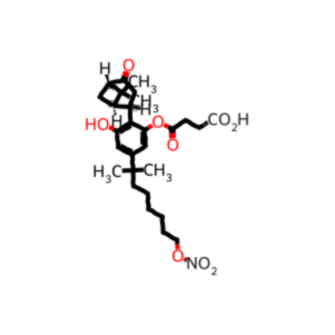 CC(C)(CCCCCCO[N+](=O)[O-])c1cc(O)c([C@H]2CC(=O)[C@H]3C[C@H]2C3(C)C)c(OC(=O)CCC(=O)O)c1